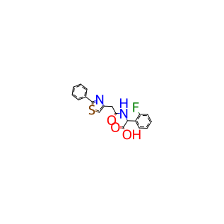 O=C(Cc1csc(-c2ccccc2)n1)NC(C(=O)O)c1ccccc1F